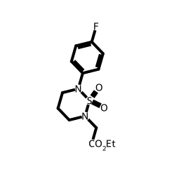 CCOC(=O)CN1CCCN(c2ccc(F)cc2)S1(=O)=O